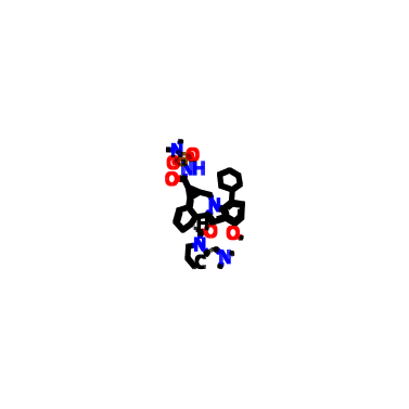 COc1ccc(C2CCCCC2)c2c1cc1n2CC2=C(C(=O)NS(=O)(=O)N(C)C)C2=C2C=CC[C@@H](C(=O)N3CCCC[C@H]3CN(C)C)[C@@H]21